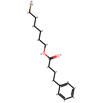 O=C(CCCc1ccccc1)OCCCCCCBr